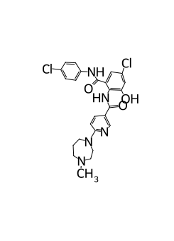 CN1CCCN(c2ccc(C(=O)Nc3c(O)cc(Cl)cc3C(=O)Nc3ccc(Cl)cc3)cn2)CC1